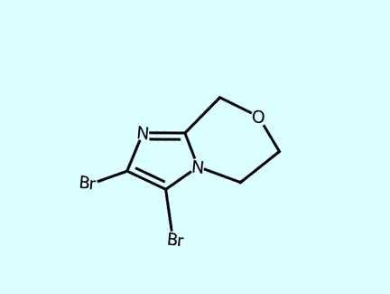 Brc1nc2n(c1Br)CCOC2